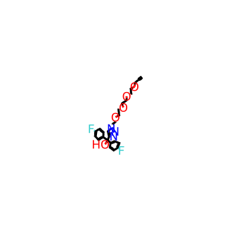 C#CCOCCOCCOCCOCCn1cc(C(O)(c2ccc(F)cc2)c2ccc(F)cc2)nn1